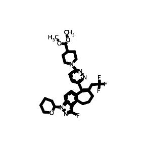 COC(OC)C1CCN(c2ccc(C3=C(CC(F)(F)F)CCCc4c3ccc3c4c(F)nn3C3CCCCO3)nn2)CC1